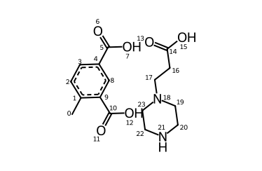 Cc1ccc(C(=O)O)cc1C(=O)O.O=C(O)CCN1CCNCC1